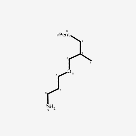 CCCCCCC(C)COCCCN